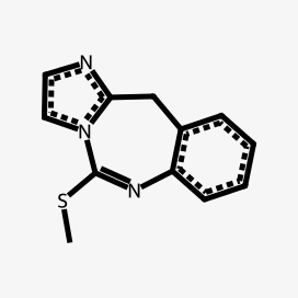 CSC1=Nc2ccccc2Cc2nccn21